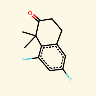 CC1(C)C(=O)CCc2cc(F)cc(F)c21